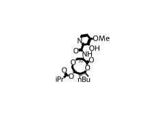 CCCC[C@H]1[C@H](C)OC(=O)[C@@H](NC(=O)c2nccc(OC)c2O)COC[C@@H]1OC(=O)C(C)C